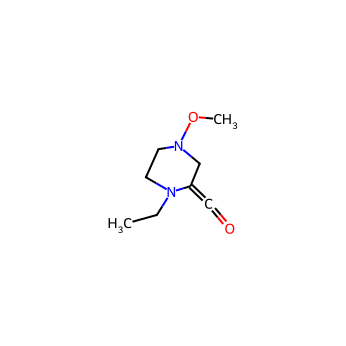 CCN1CCN(OC)CC1=C=O